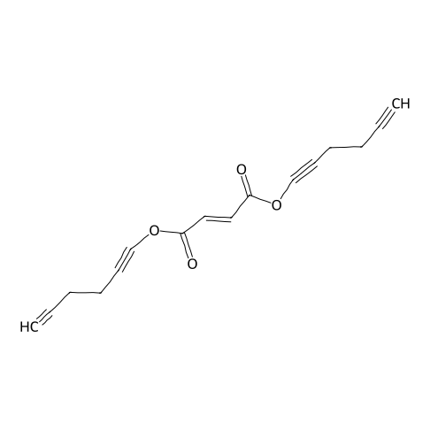 C#CCCC#COC(=O)/C=C/C(=O)OC#CCCC#C